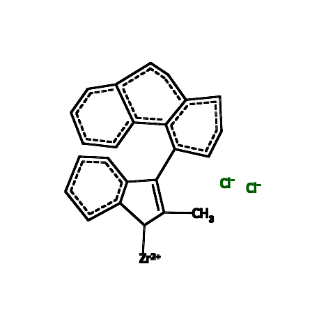 CC1=C(c2cccc3ccc4ccccc4c23)c2ccccc2[CH]1[Zr+2].[Cl-].[Cl-]